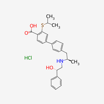 CC(C)Sc1cc(-c2ccc(C[C@@H](C)NC[C@@H](O)c3ccccc3)cc2)ccc1C(=O)O.Cl